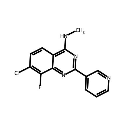 CNc1nc(-c2cccnc2)nc2c(F)c(Cl)ccc12